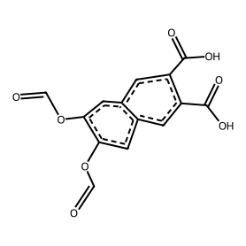 O=COc1cc2cc(C(=O)O)c(C(=O)O)cc2cc1OC=O